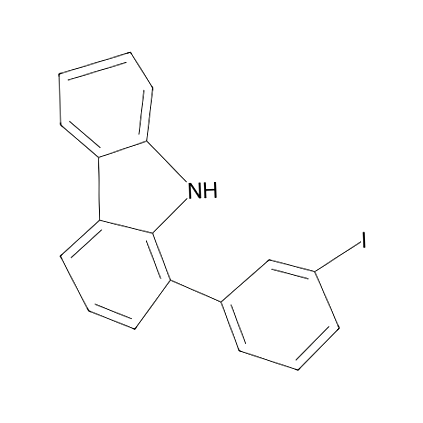 Ic1cccc(-c2cccc3c2[nH]c2ccccc23)c1